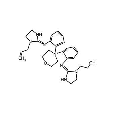 C=CCN1CCNC1=Nc1ccccc1[N+]1(c2ccccc2N=C2NCCN2CCO)CCOCC1